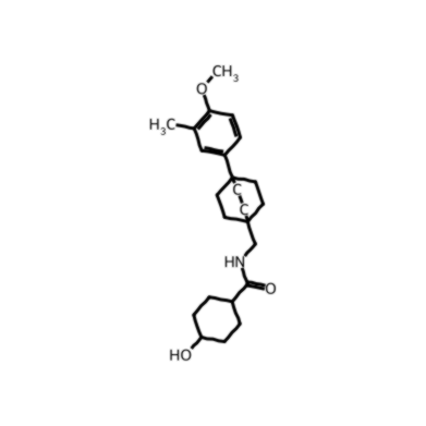 COc1ccc(C23CCC(CNC(=O)C4CCC(O)CC4)(CC2)CC3)cc1C